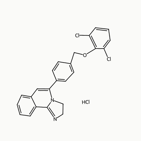 Cl.Clc1cccc(Cl)c1OCc1ccc(C2=Cc3ccccc3C3=NCCN23)cc1